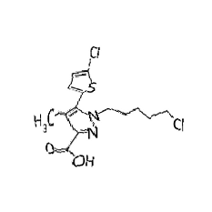 Cc1c(C(=O)O)nn(CCCCCCl)c1-c1ccc(Cl)s1